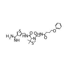 CC1(C)SCN(C(=O)CNC(=O)CCCOc2ccccc2)[C@@H]1C(=O)NCc1cc(C(=N)N)cs1